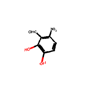 O=Cc1c([N+](=O)[O-])ccc(O)c1O